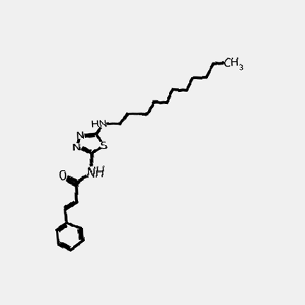 CCCCCCCCCCCNc1nnc(NC(=O)/C=C/c2ccccc2)s1